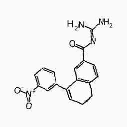 NC(N)=NC(=O)c1ccc2c(c1)C(c1cccc([N+](=O)[O-])c1)=CCC2